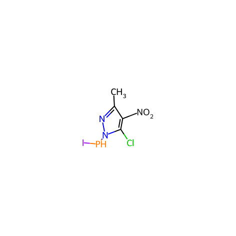 Cc1nn(PI)c(Cl)c1[N+](=O)[O-]